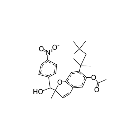 CC(=O)Oc1cc2c(cc1C(C)(C)CC(C)(C)C)OC(C)(C(O)c1ccc([N+](=O)[O-])cc1)C=C2